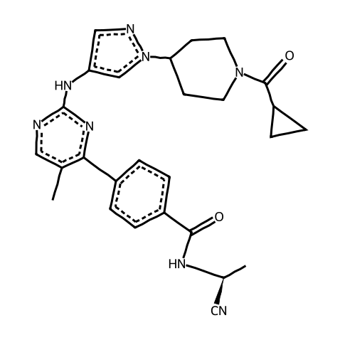 Cc1cnc(Nc2cnn(C3CCN(C(=O)C4CC4)CC3)c2)nc1-c1ccc(C(=O)N[C@@H](C)C#N)cc1